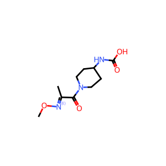 CO/N=C(\C)C(=O)N1CCC(NC(=O)O)CC1